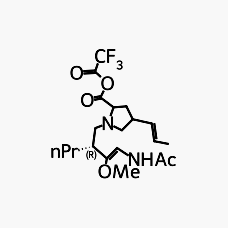 CC=CC1CC(C(=O)OC(=O)C(F)(F)F)N(C[C@@H](CCC)C(=CNC(C)=O)OC)C1